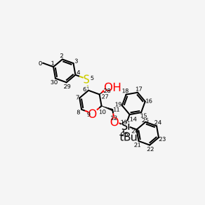 Cc1ccc(S[C@H]2C=CO[C@H](CO[Si](c3ccccc3)(c3ccccc3)C(C)(C)C)[C@@H]2O)cc1